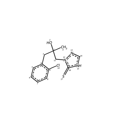 CC(O)(Cc1ccccc1Cl)Cn1nc[nH]c1=S